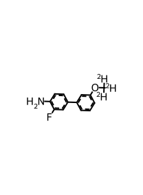 [2H]C([2H])([2H])Oc1cccc(-c2ccc(N)c(F)c2)c1